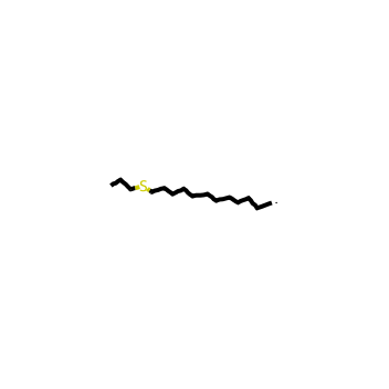 [CH2]CCCCCCCCCCCSCCC